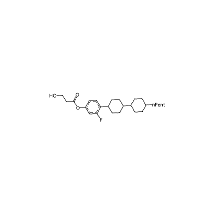 CCCCCC1CCC(C2CCC(c3ccc(OC(=O)CCO)cc3F)CC2)CC1